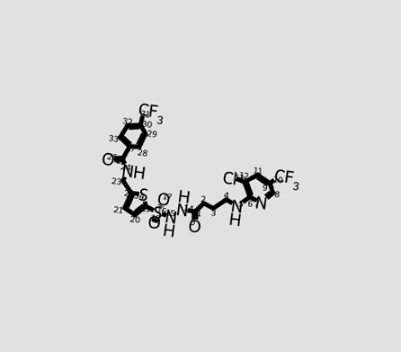 O=C(CCCNc1ncc(C(F)(F)F)cc1Cl)NNS(=O)(=O)c1ccc(CNC(=O)c2ccc(C(F)(F)F)cc2)s1